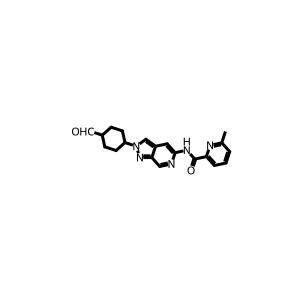 Cc1cccc(C(=O)Nc2cc3cn(C4CCC(C=O)CC4)nc3cn2)n1